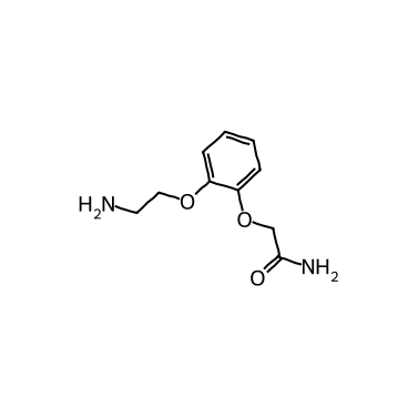 NCCOc1ccccc1OCC(N)=O